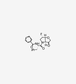 CC(C)C[C@H](NC(=O)c1ccccc1)C(=O)N1C[C@H](F)[C@H]2OCC(=O)[C@H]21